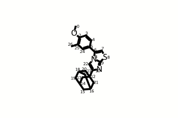 COc1ccc(-c2csc3nc(C45CC6CC(CC(C6)C4)C5)cn23)cc1C